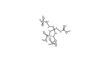 COC(=O)CCC(CCOS(C)(=O)=O)(CCOS(C)(=O)=O)CCC(=O)OC